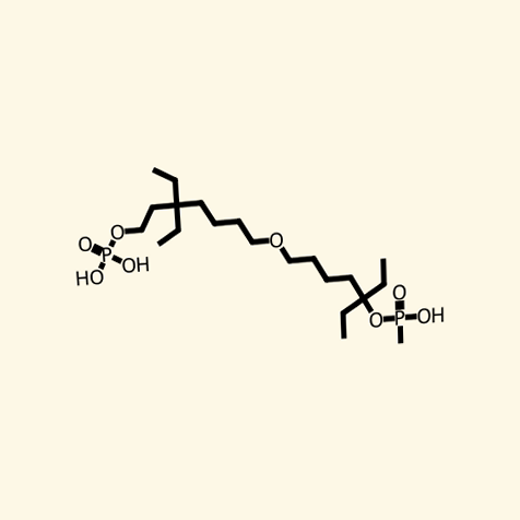 CCC(CC)(CCCCOCCCCC(CC)(CC)OP(C)(=O)O)CCOP(=O)(O)O